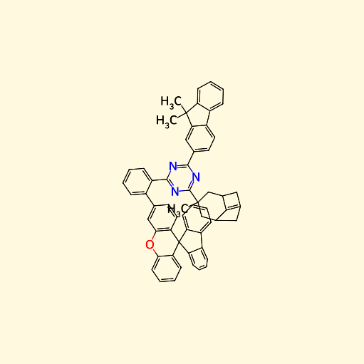 CC1(c2nc(-c3ccc4c(c3)C(C)(C)c3ccccc3-4)nc(-c3ccccc3-c3ccc4c(c3)Oc3ccccc3C43c4ccccc4-c4ccccc43)n2)CC2CC3=C2C(C3)C1